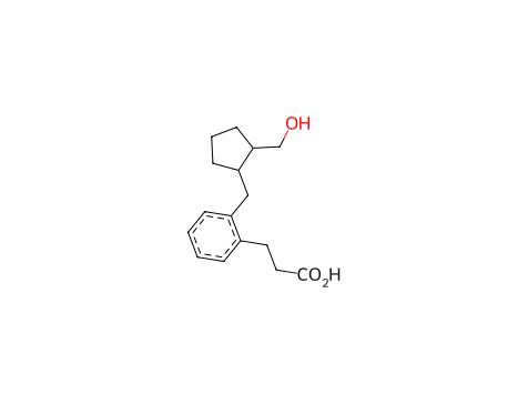 O=C(O)CCc1ccccc1CC1CCCC1CO